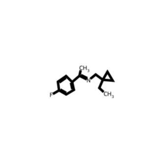 CCC1(C/N=C(\C)c2ccc(F)cc2)CC1